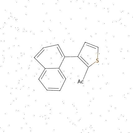 CC(=O)c1sccc1-c1cccc2ccccc12